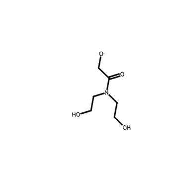 [O]CC(=O)N(CCO)CCO